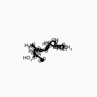 CC[C@H](O)[C@@H](C)[C@H]1O[C@@H]1C[C@@](C)(O)/C=C/C=C(\C)[C@H]1OC(=O)C[C@H](O)CC[C@@](C)(O)[C@@H](OC(=O)N2CCN(C(=O)OCc3ccc(NC(=O)[C@H](CCCNC(N)=O)NC(=O)[C@@H](NC(=O)[C@H](CCC(=O)O)NC(=O)CCCCCN4C(=O)C=CC4=O)C(C)C)cc3)CC2)/C=C/[C@@H]1C